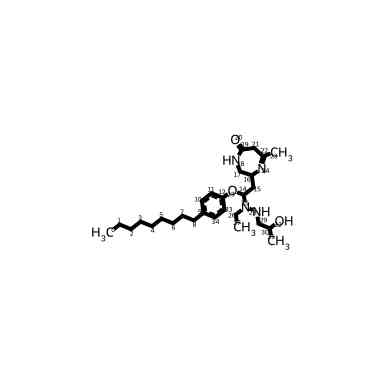 CCCCCCCCCc1ccc(OC(CC2CNC(=O)CC(C)=N2)N(CC)NCC(C)O)cc1